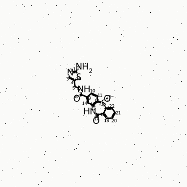 Nc1ncc(CNC(=O)c2ccc3c(c2)NC(=O)c2ccccc2[S+]3[O-])s1